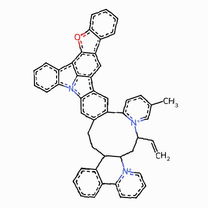 C=CC1CC2C(CCc3cc4c(cc3-c3ccc(C)c[n+]31)c1cc3c5ccccc5oc3c3c5ccccc5n4c13)c1ccccc1-c1cccc[n+]12